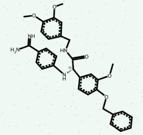 COc1ccc(CNC(=O)[C@@H](Nc2ccc(C(=N)N)cc2)c2ccc(OCc3ccccc3)c(OC)c2)cc1OC